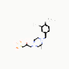 COc1ccc(CN2CCN(CC(O)CS(=O)(=O)[O-])CC2)cc1C(C)(C)C.[K+]